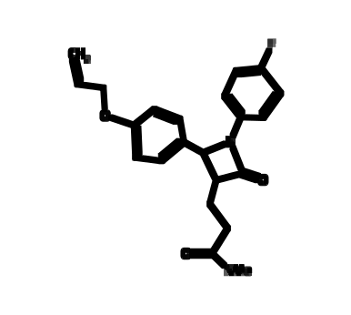 C=CCOc1ccc(C2C(CCC(=O)NC)C(=O)N2c2ccc(F)cc2)cc1